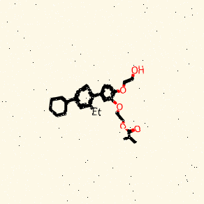 C=C(C)C(=O)OCCOc1cc(-c2ccc(C3CCCCC3)cc2CC)ccc1OCCO